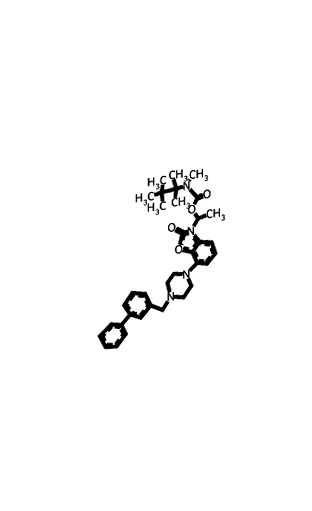 CC(OC(=O)N(C)C(C)(C)C(C)(C)C)n1c(=O)oc2c(N3CCN(Cc4cccc(-c5ccccc5)c4)CC3)cccc21